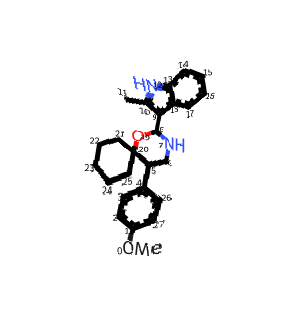 COc1ccc(C2CNC(c3c(C)[nH]c4ccccc34)OC23CCCCC3)cc1